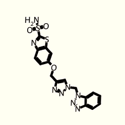 NS(=O)(=O)c1nc2ccc(OCc3cn(Cn4nnc5ccccc54)nn3)cc2s1